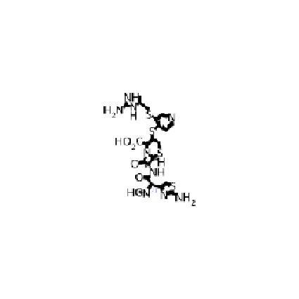 CC(CSc1cnccc1SC1=C(C(=O)O)N2C(=O)[C@@H](NC(=O)/C(=N\O)c3csc(N)n3)[C@@H]2SC1)NC(=N)N